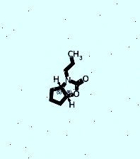 CCCN1C(=O)O[C@@H]2CCC[C@@H]21